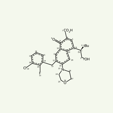 CC(C)(C)[C@@H](CO)n1cc(C(=O)O)c(=O)c2cc(Cc3cccc(Cl)c3F)c(N3CCOCC3)cc21